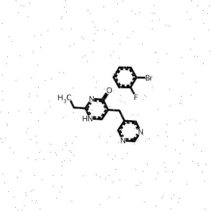 CCc1nc(=O)c(Cc2cncnc2)c[nH]1.Fc1ccccc1Br